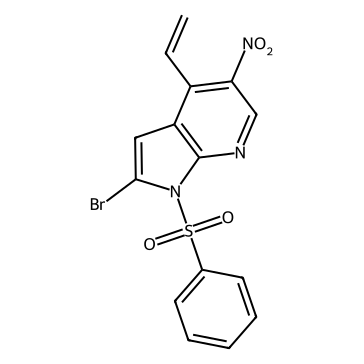 C=Cc1c([N+](=O)[O-])cnc2c1cc(Br)n2S(=O)(=O)c1ccccc1